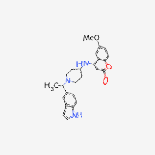 COc1ccc2oc(=O)cc(NC3CCN(C(C)c4ccc5[nH]ccc5c4)CC3)c2c1